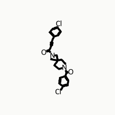 O=C(C#Cc1ccc(Cl)cc1)N1CC2(CCN(C(=O)c3ccc(Cl)cc3)CC2)C1